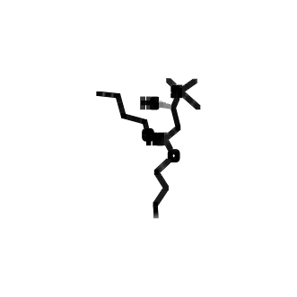 CCCCO[SiH](C[C@H](S)[Si](C)(C)C)OCCCC